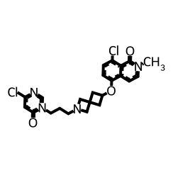 Cn1ccc2c(OC3CC4(C3)CN(CCCn3cnc(Cl)cc3=O)C4)ccc(Cl)c2c1=O